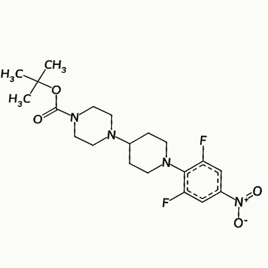 CC(C)(C)OC(=O)N1CCN(C2CCN(c3c(F)cc([N+](=O)[O-])cc3F)CC2)CC1